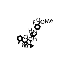 COC(=O)c1ccc(N2C[C@@H]3C[C@H]2C[C@H]3OCc2c(-c3c(C)cccc3Cl)noc2C2(F)CC2)cc1F